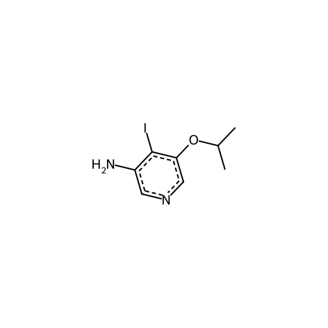 CC(C)Oc1cncc(N)c1I